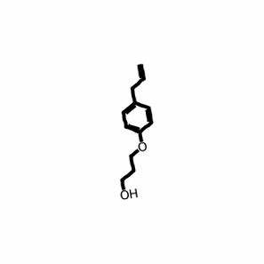 C=CCc1ccc(OCCCO)cc1